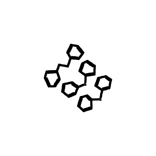 c1ccc(CCc2ccccc2)cc1.c1ccc(Sc2ccccc2)cc1.c1ccc(Sc2ccccc2)cc1